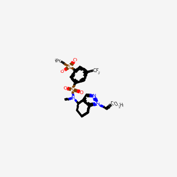 CC(C)S(=O)(=O)c1cc(C(F)(F)F)cc(S(=O)(=O)N(C)C2CCCc3c2cnn3CC(=O)O)c1